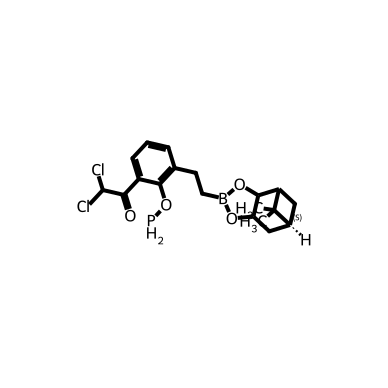 CC1(C)C2C[C@H]1CC1OB(CCc3cccc(C(=O)C(Cl)Cl)c3OP)OC12